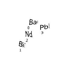 [Ba].[Bi].[Nd].[Pb]